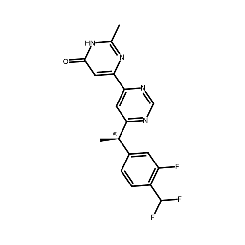 Cc1nc(-c2cc([C@H](C)c3ccc(C(F)F)c(F)c3)ncn2)cc(=O)[nH]1